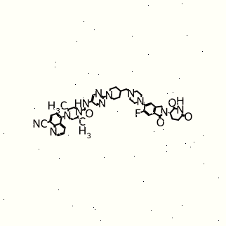 C[C@@H]1CN(c2ccc(C#N)c3ncccc23)[C@@H](C)CN1C(=O)Nc1cnc(N2CCC(CN3CCN(c4cc5c(cc4F)C(=O)N([C@H]4CCC(=O)NC4=O)C5)CC3)CC2)nc1